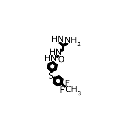 CC(F)(F)c1ccc(Sc2ccc(NC(=O)NC/C(C=N)=C/N)cc2)cc1